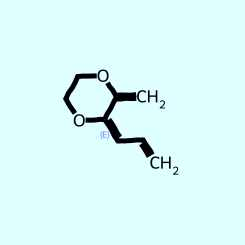 C=C/C=C1/OCCOC1=C